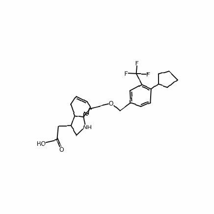 O=C(O)CC1CNC23C=CC(OCc4ccc(C5CCCC5)c(C(F)(F)F)c4)=C2C=CCC13